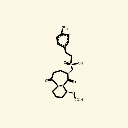 O=C(O)O[C@H]1CCCN2C(=O)CC[C@H](CP(=O)(O)CCc3ccc([N+](=O)[O-])cc3)C(=O)N12